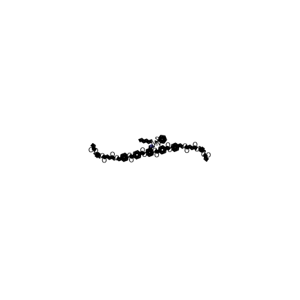 C=CC(=O)OCC(C)(C)COC(=O)CCC(=O)COCc1ccc(OC(=O)C2CCC(C(=O)Oc3ccc(OC(=O)C4CCC(C(=O)Oc5ccc(CCOC(=O)CCC(=O)OCC(C)(C)COC(=O)C=C)cc5)CC4)c(/C=C/N(CCCCCC)c4nc5ccccc5s4)c3)CC2)cc1